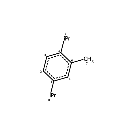 [CH2]C(C)c1ccc(C(C)C)c(C)c1